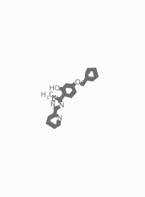 Cn1nc(-c2ccccn2)nc1-c1ccc(OCc2ccccc2)cc1O